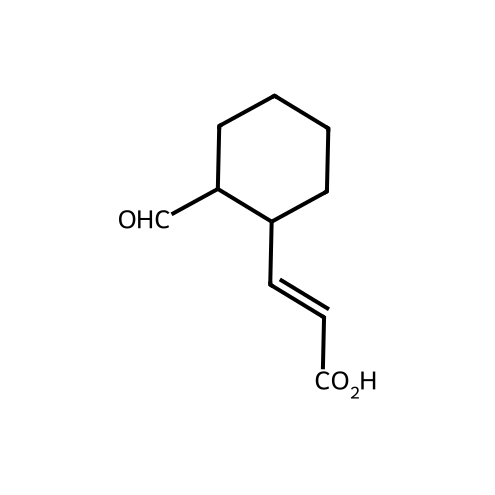 O=CC1CCCCC1C=CC(=O)O